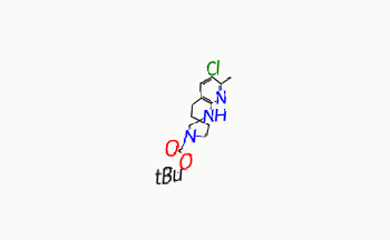 Cc1nc2c(cc1Cl)CCC1(CCN(C(=O)OC(C)(C)C)C1)N2